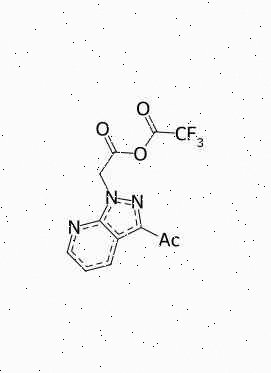 CC(=O)c1nn(CC(=O)OC(=O)C(F)(F)F)c2ncccc12